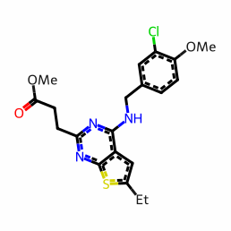 CCc1cc2c(NCc3ccc(OC)c(Cl)c3)nc(CCC(=O)OC)nc2s1